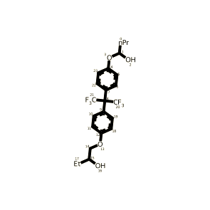 CCCC(O)Oc1ccc(C(c2ccc(OCC(O)CC)cc2)(C(F)(F)F)C(F)(F)F)cc1